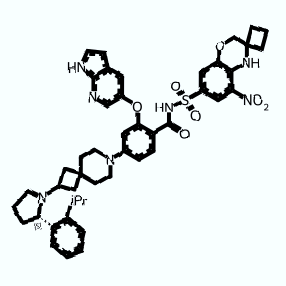 CC(C)c1ccccc1[C@@H]1CCCN1C1CC2(CCN(c3ccc(C(=O)NS(=O)(=O)c4cc5c(c([N+](=O)[O-])c4)NC4(CCC4)CO5)c(Oc4cnc5[nH]ccc5c4)c3)CC2)C1